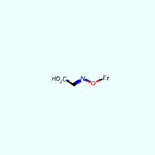 CCON=CC(=O)O